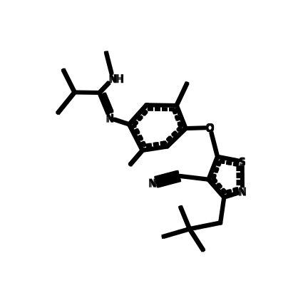 CNC(=Nc1cc(C)c(Oc2snc(CC(C)(C)C)c2C#N)cc1C)C(C)C